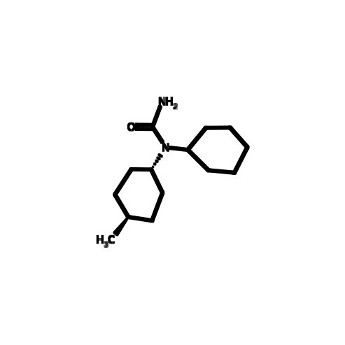 C[C@H]1CC[C@H](N(C(N)=O)C2CCCCC2)CC1